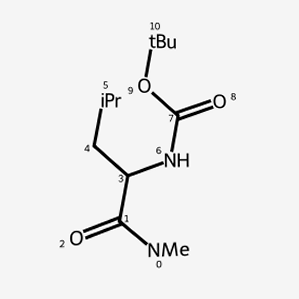 CNC(=O)C(CC(C)C)NC(=O)OC(C)(C)C